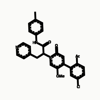 COc1cn(C(Cc2ccncc2)C(=O)Nc2ccc(C)cc2)c(=O)cc1-c1cc(Cl)ccc1C(C)=O